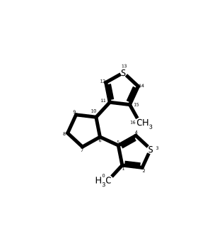 Cc1cscc1C1CCCC1c1cscc1C